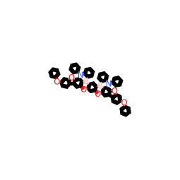 c1ccc(Oc2ccc3c(c2)oc2c4c5c(cc23)Oc2cc3c(cc2B5c2ccccc2N4c2ccccc2)B2c4ccccc4N(c4ccccc4)c4c2c(cc2c4oc4cc(Oc5ccccc5)ccc42)O3)cc1